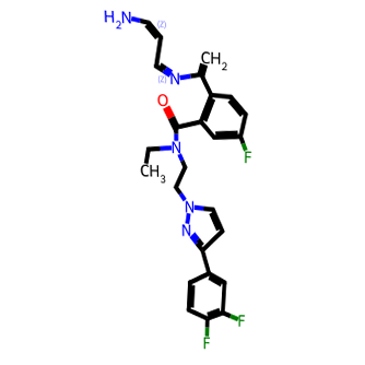 C=C(/N=C\C=C/N)c1ccc(F)cc1C(=O)N(CC)CCn1ccc(-c2ccc(F)c(F)c2)n1